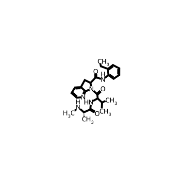 CCc1ccccc1NC(=O)C1Cc2cccnc2N1C(=O)C(NC(=O)[C@H](C)NC)C(C)C